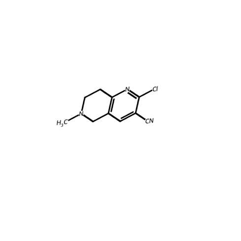 CN1CCc2nc(Cl)c(C#N)cc2C1